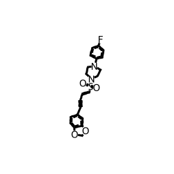 O=S(=O)(C=CC#Cc1ccc2c(c1)OCO2)N1CCN(c2ccc(F)cc2)CC1